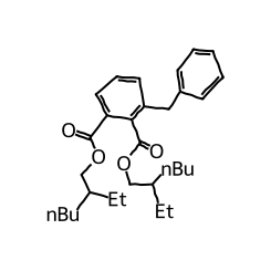 CCCCC(CC)COC(=O)c1cccc(Cc2ccccc2)c1C(=O)OCC(CC)CCCC